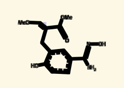 BC(=NO)c1ccc(O)c(C/C(=C\OC)C(=O)OC)c1